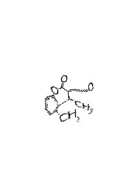 Cc1cccc2c1C(C)C(=C=O)C(=O)O2